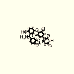 NC(c1ccc2c(c1)OCO2)c1cc(Oc2c(Cl)cc(-n3ncc(=O)[nH]c3=O)cc2Cl)ccc1O